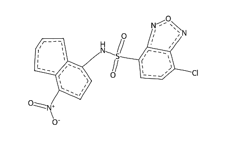 O=[N+]([O-])c1ccc(NS(=O)(=O)c2ccc(Cl)c3nonc23)c2ccccc12